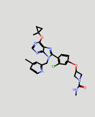 CNC(=O)N1CC(Oc2ccc(-c3nc4c(OC5(C)CC5)ncnc4n3Cc3cc(C)ccn3)c(Cl)c2)C1